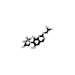 O=C1CN(c2c(O)cc3cnc(OCC(F)F)nc3c2F)S(=O)(=O)N1